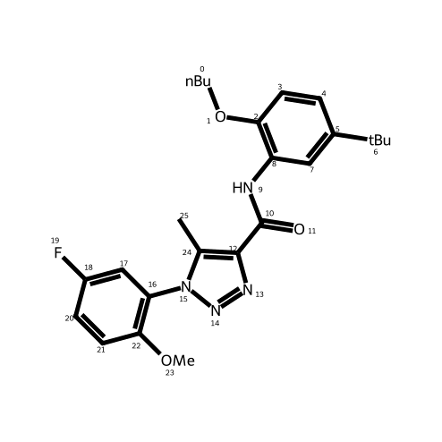 CCCCOc1ccc(C(C)(C)C)cc1NC(=O)c1nnn(-c2cc(F)ccc2OC)c1C